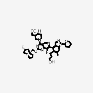 Cc1cc2c(cnn2C2CCCCO2)c(-c2ncc3c(N4CCCC(CC(=O)O)C4)nc(OC[C@@]45CCCN4C[C@H](F)C5)nc3c2F)c1CCCO